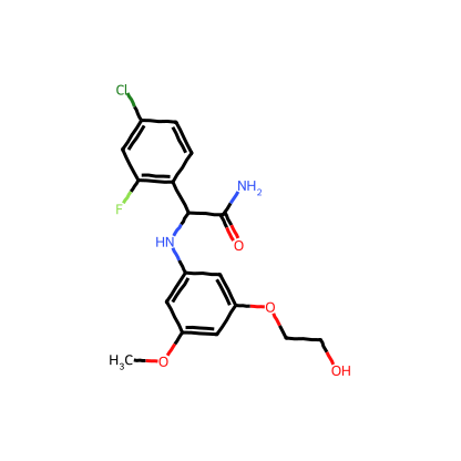 COc1cc(NC(C(N)=O)c2ccc(Cl)cc2F)cc(OCCO)c1